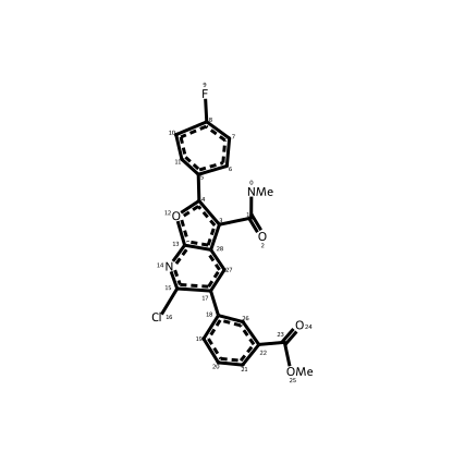 CNC(=O)c1c(-c2ccc(F)cc2)oc2nc(Cl)c(-c3cccc(C(=O)OC)c3)cc12